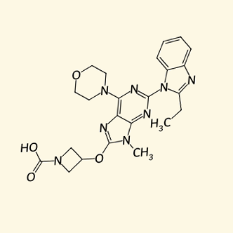 CCc1nc2ccccc2n1-c1nc(N2CCOCC2)c2nc(OC3CN(C(=O)O)C3)n(C)c2n1